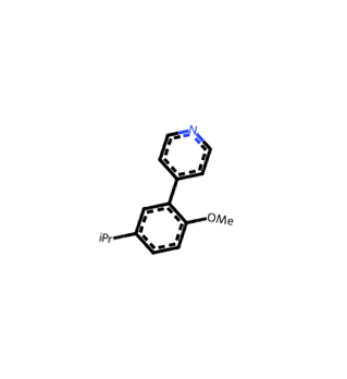 COc1ccc(C(C)C)cc1-c1ccncc1